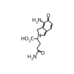 NC(=O)CCC(C(=O)O)N1C=C2C=CC(=O)C(N)=C2C1